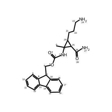 CC1(NC(=O)OCC2c3ccccc3-c3ccccc32)C(CCCN)C1C(N)=O